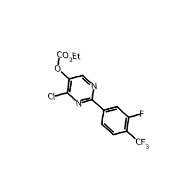 CCOC(=O)Oc1cnc(-c2ccc(C(F)(F)F)c(F)c2)nc1Cl